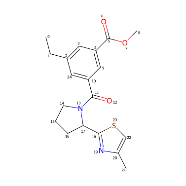 CCc1cc(C(=O)OC)cc(C(=O)N2CCCC2c2nc(C)cs2)c1